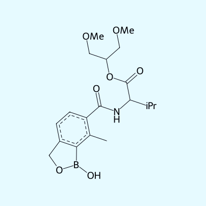 COCC(COC)OC(=O)C(NC(=O)c1ccc2c(c1C)B(O)OC2)C(C)C